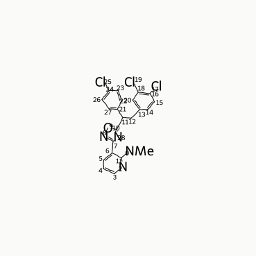 CNc1ncccc1-c1noc(C(Cc2ccc(Cl)c(Cl)c2)c2ccc(Cl)cc2)n1